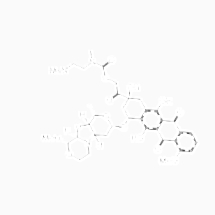 CNCCN(C)C(=O)OCC(=O)[C@]1(O)Cc2c(O)c3c(c(O)c2[C@@H](O[C@H]2C[C@H]4[C@H](O[C@@H]5[C@@H](OC)OCCN54)[C@H](C)O2)C1)C(=O)c1c(OC)cccc1C3=O